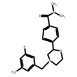 CN(C)C(=O)c1ccc(C2CN(Cc3cc(F)cc(C(F)(F)F)c3)CCO2)cc1